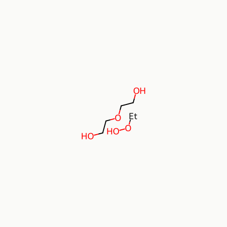 CCOO.OCCOCCO